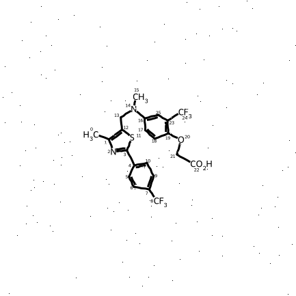 Cc1nc(-c2ccc(C(F)(F)F)cc2)sc1CN(C)c1ccc(OCC(=O)O)c(C(F)(F)F)c1